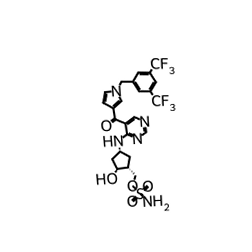 NS(=O)(=O)OC[C@H]1C[C@@H](Nc2ncncc2C(=O)c2ccn(Cc3cc(C(F)(F)F)cc(C(F)(F)F)c3)c2)C[C@@H]1O